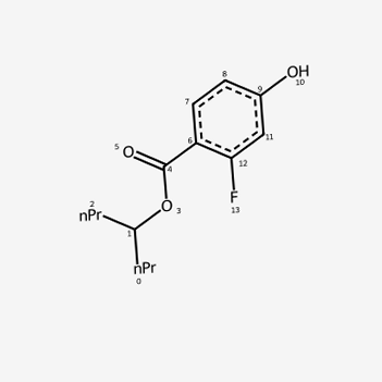 CCCC(CCC)OC(=O)c1ccc(O)cc1F